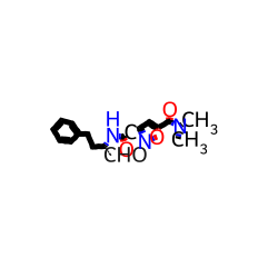 CN(C)C(=O)c1cc(CC(=O)N[C@H](C=O)CCc2ccccc2)no1